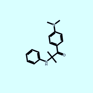 CN(C)c1ccc(C(=O)C(C)(C)Nc2ccccc2)cc1